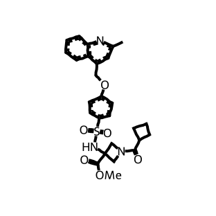 COC(=O)C1(NS(=O)(=O)c2ccc(OCc3cc(C)nc4ccccc34)cc2)CN(C(=O)C2CCC2)C1